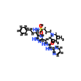 CCN(CC)CCCS(=O)(=O)N[C@H](CCc1ccccc1)c1nc(CNC(=O)Nc2ncccn2)n[nH]1